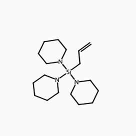 C=CC[Si](N1CCCCC1)(N1CCCCC1)N1CCCCC1